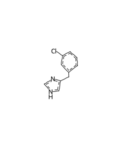 Clc1cccc(Cc2c[nH]cn2)c1